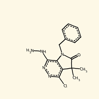 CC1(C)C(=O)N(Cc2ccccc2)c2c(NN)nnc(Cl)c21